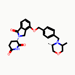 CC1COC[C@H](C)N1Cc1ccc(COc2cccc3c2CN([C@H]2CCC(=O)NC2=O)C3=O)cc1